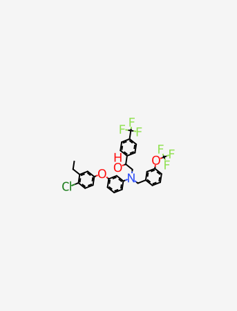 CCc1cc(Oc2cccc(N(Cc3cccc(OC(F)(F)F)c3)CC(O)c3ccc(C(F)(F)F)cc3)c2)ccc1Cl